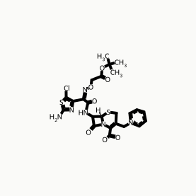 CC(C)(C)OC(=O)CO/N=C(\C(=O)NC1C(=O)N2C(C(=O)[O-])=C(C[n+]3ccccc3)CS[C@H]12)c1nc(N)sc1Cl